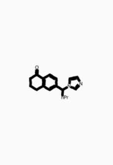 CCCC(c1ccc2c(c1)CCCC2=O)n1ccnc1